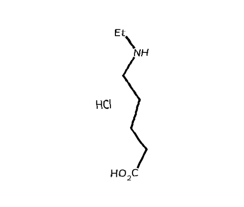 CCNCCCCC(=O)O.Cl